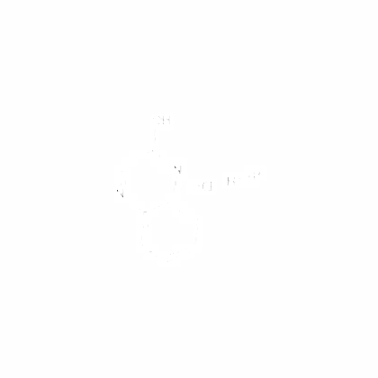 Cl.Oc1cnc2ccccc2n1.[H+].[H+]